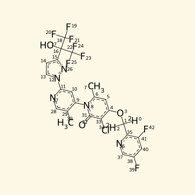 [2H]C([2H])(Oc1cc(C)n(-c2cc(-n3ccc(C(O)(C(F)(F)F)C(F)(F)F)n3)ncc2C)c(=O)c1Cl)c1ncc(F)cc1F